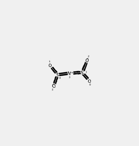 O=S(=O)=[N+]=S(=O)=O